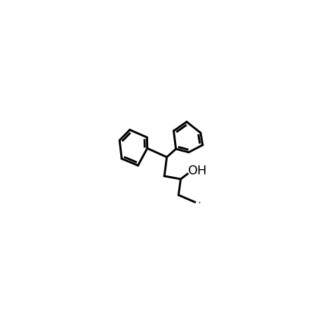 [CH2]CC(O)CC(c1ccccc1)c1ccccc1